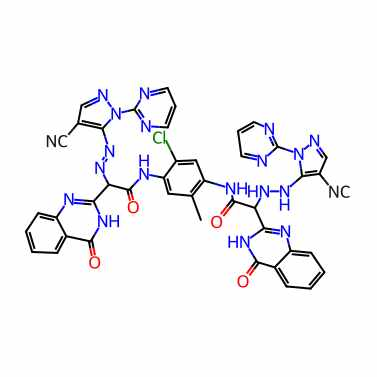 [C-]#[N+]c1cnn(-c2ncccn2)c1NNC(C(=O)Nc1cc(Cl)c(NC(=O)C(N=Nc2c(C#N)cnn2-c2ncccn2)c2nc3ccccc3c(=O)[nH]2)cc1C)c1nc2ccccc2c(=O)[nH]1